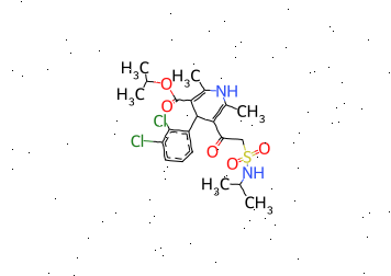 CC1=C(C(=O)CS(=O)(=O)NC(C)C)C(c2cccc(Cl)c2Cl)C(C(=O)OC(C)C)=C(C)N1